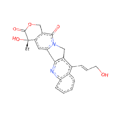 CC[C@@]1(O)C(=O)OCc2c1cc1n(c2=O)Cc2c-1nc1ccccc1c2/C=C/CO